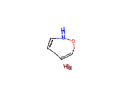 Br.C1=CNOC=C1